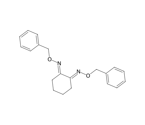 c1ccc(CON=C2CCCCC2=NOCc2ccccc2)cc1